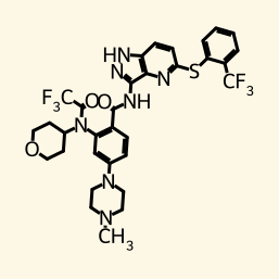 CN1CCN(c2ccc(C(=O)Nc3n[nH]c4ccc(Sc5ccccc5C(F)(F)F)nc34)c(N(C(=O)C(F)(F)F)C3CCOCC3)c2)CC1